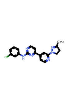 COC1=NN(c2cc(-c3ccnc(Nc4cccc(Cl)c4)n3)ccn2)CC1